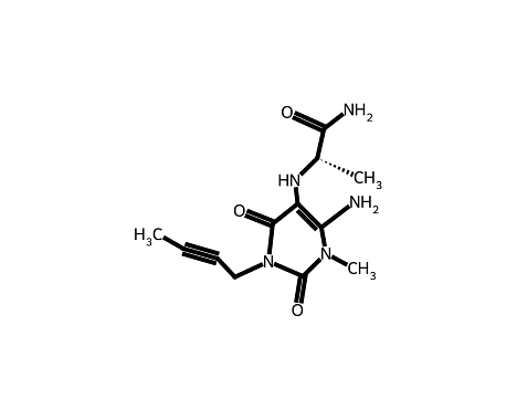 CC#CCn1c(=O)c(N[C@@H](C)C(N)=O)c(N)n(C)c1=O